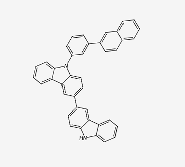 c1cc(-c2ccc3ccccc3c2)cc(-n2c3ccccc3c3cc(-c4ccc5[nH]c6ccccc6c5c4)ccc32)c1